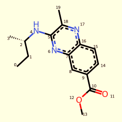 CC[C@H](C)Nc1nc2cc(C(=O)OC)ccc2nc1C